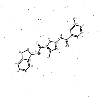 Cc1nc(NC(=O)c2cccc(F)c2)sc1C(=O)NC1CCc2ccccc21